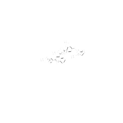 Cc1cc(CSCc2nccn2C)ccc1C(=O)N[C@H](C)c1cc(-c2cnn(C)c2)nc2ccccc12